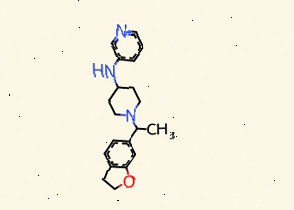 CC(c1ccc2c(c1)OCC2)N1CCC(Nc2cccnc2)CC1